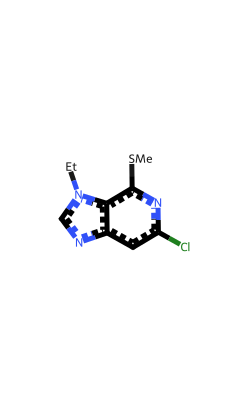 CCn1cnc2cc(Cl)nc(SC)c21